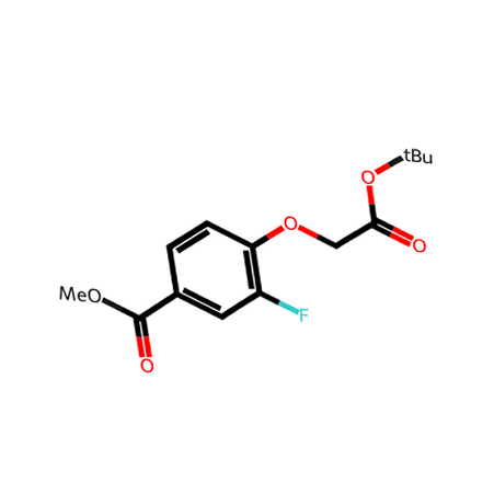 COC(=O)c1ccc(OCC(=O)OC(C)(C)C)c(F)c1